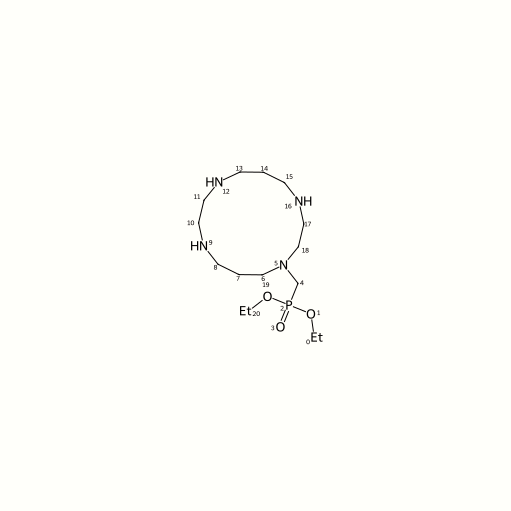 CCOP(=O)(CN1CCCNCCNCCCNCC1)OCC